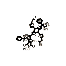 CCCCCC(CC)(c1ccccc1)c1sc(-c2cc3c(-c4ccc(CC(CC)CCCC)s4)c4sc(C(CCC)(c5ccccc5)C(CC)CCC)cc4c(-c4ccc(CC(CC)CCCC)s4)c3s2)c2sc3c(c12)C(=O)N(CCCC)C3=O